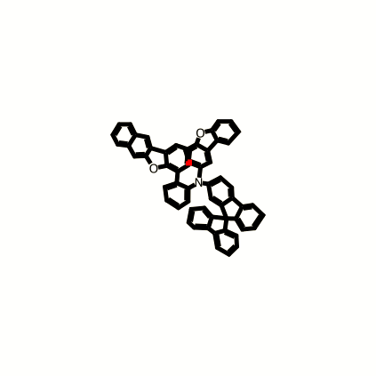 c1ccc(N(c2ccc3c(c2)C2(c4ccccc4-c4ccccc42)c2ccccc2-3)c2ccc3oc4ccccc4c3c2)c(-c2cccc3c2oc2cc4ccccc4cc23)c1